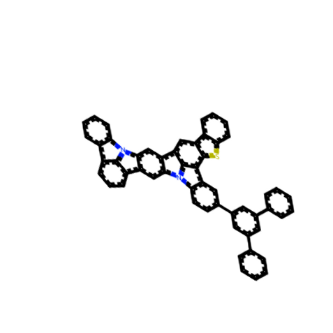 c1ccc(-c2cc(-c3ccccc3)cc(-c3ccc4c(c3)c3c5sc6ccccc6c5cc5c6cc7c(cc6n4c53)c3cccc4c5ccccc5n7c43)c2)cc1